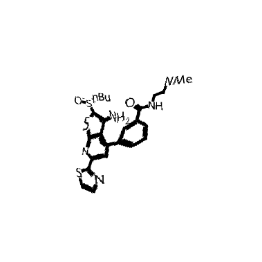 CCCC[S+]([O-])c1sc2nc(-c3nccs3)cc(-c3cccc(C(=O)NCCNC)c3)c2c1N